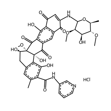 CO[C@@H]1[C@@H](O)[C@@H](OC)C(NC2=CC(=O)c3c(cc4c(c3O)C(=O)[C@]3(OC)[C@H](O)Cc5cc(C)c(C(=O)Nc6cccnc6)c(O)c5[C@]3(O)C4=O)C2=O)O[C@H]1C.Cl